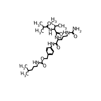 CC(C)CCCNC(=O)OCc1ccc(NC(=O)C(CCCNC(N)=O)NC(=O)C(NC(=O)C(C)C)C(C)C)cc1